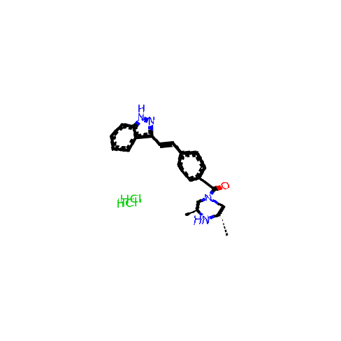 C[C@H]1CN(C(=O)c2ccc(C=Cc3n[nH]c4ccccc34)cc2)C[C@H](C)N1.Cl.Cl